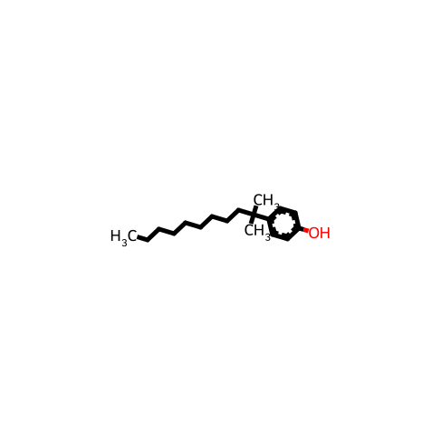 CCCCCCCCCC(C)(C)c1ccc(O)cc1